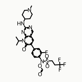 CC(C)n1c(=O)c(-c2ccc(N(OC=O)S(=O)(=O)CCC(F)(F)F)c(F)c2)cc2cnc(NC3CCN(C)CC3)nc21